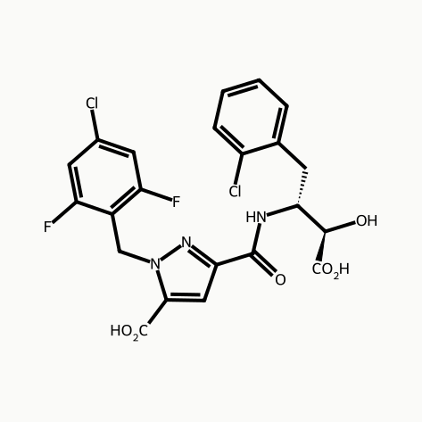 O=C(N[C@H](Cc1ccccc1Cl)[C@@H](O)C(=O)O)c1cc(C(=O)O)n(Cc2c(F)cc(Cl)cc2F)n1